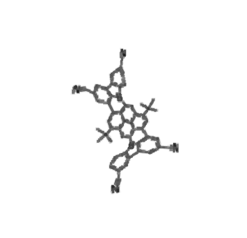 CC(C)(C)c1cc2c3c(cc4c(C(C)(C)C)cc5c6c(cc1c3c46)B1c3ccc(C#N)cc3-c3cc(C#N)cc-5c31)B1c3ccc(C#N)cc3-c3cc(C#N)cc-2c31